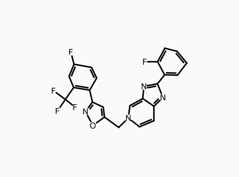 Fc1ccc(-c2cc(Cn3ccc4nc(-c5ccccc5F)nc-4c3)on2)c(C(F)(F)F)c1